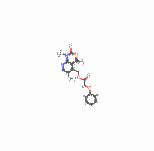 Cc1cnc2c(c1COC(=O)COc1ccccc1)c(=O)oc(=O)n2C